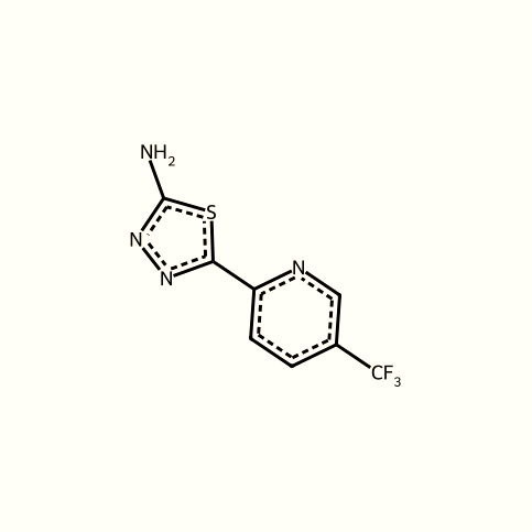 Nc1nnc(-c2ccc(C(F)(F)F)cn2)s1